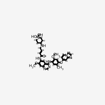 COc1cc2ncnc(Nc3cc(C)c(Oc4ccn5ncnc5c4)cc3OC)c2cc1NC(=O)/C=C/CNC1CCS(O)(O)CC1